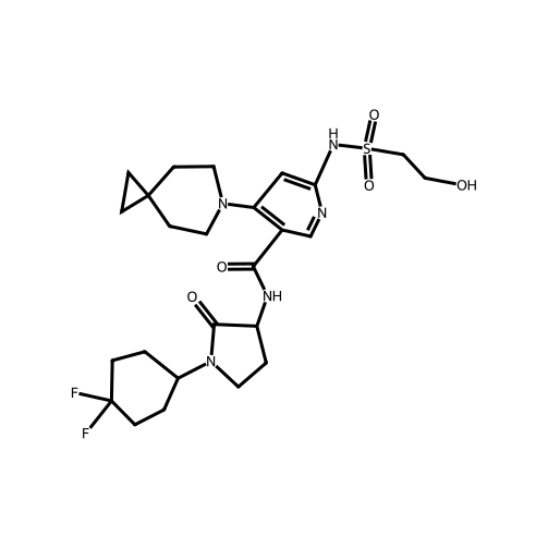 O=C(NC1CCN(C2CCC(F)(F)CC2)C1=O)c1cnc(NS(=O)(=O)CCO)cc1N1CCC2(CC1)CC2